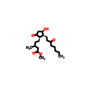 CCCCCC(=O)CC[C@H]1[C@H](O)CC(=O)[C@H]1CCC(C)CC(=O)OC